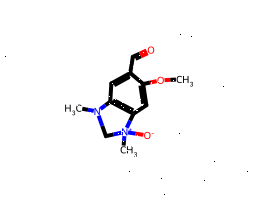 COc1cc2c(cc1C=O)N(C)C[N+]2(C)[O-]